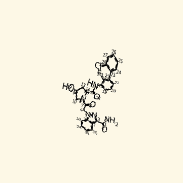 NC(=O)c1nn(CC(=O)N2C[C@H](O)C[C@H]2C(=O)Nc2cccc(-c3ccccc3Cl)c2F)c2ccccc12